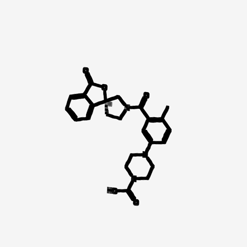 Cc1ccc(N2CCN(C(=O)O)CC2)cc1C(=O)N1CC[C@@]2(C1)OC(=O)c1ccccc12